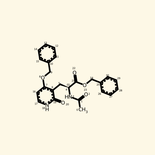 CC(=O)N[C@@H](Cc1c(OCc2ccccc2)cc[nH]c1=O)C(=O)OCc1ccccc1